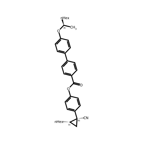 CCCCCC[C@H]1C[C@]1(C#N)c1ccc(OC(=O)c2ccc(-c3ccc(O[C@H](C)CCCCCC)cc3)cc2)cc1